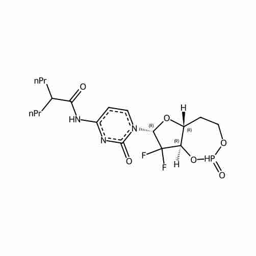 CCCC(CCC)C(=O)Nc1ccn([C@@H]2O[C@@H]3CCO[PH](=O)O[C@H]3C2(F)F)c(=O)n1